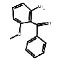 COc1cccc(N)c1C(=O)c1ccccc1